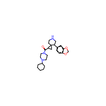 O=C(C1CC12CCNCC2c1ccc2c(c1)OCO2)N1CCN(C2CCCCC2)CC1